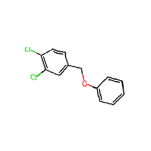 Clc1ccc(COc2ccccc2)cc1Cl